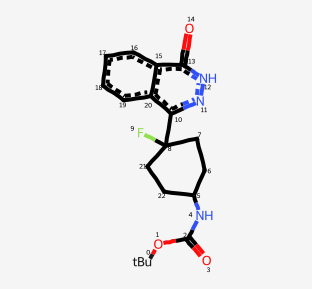 CC(C)(C)OC(=O)NC1CCC(F)(c2n[nH]c(=O)c3ccccc23)CC1